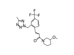 COC1CCCN(C(=O)C=Cc2ccc(C(F)(F)F)cc2Cn2nnc(C)n2)C1